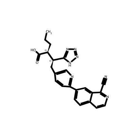 CCC[C@H](C(=O)O)[C@H](Cc1ccc(-c2ccc3ccnc(C#N)c3c2)nc1)c1nnn[nH]1